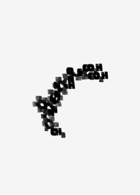 CC1C=CC(Cc2nnc(N3CCN(c4ccc(CNC(=O)CSC(CC(=O)O)C(=O)O)cn4)CC3)c3ccccc23)=CC1